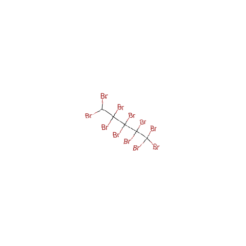 BrC(Br)C(Br)(Br)C(Br)(Br)C(Br)(Br)C(Br)(Br)Br